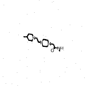 CNC(=O)CN1CCN(CCN2CCC(C)CC2)CC1